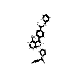 CC#CC(=O)N1CC[C@@H](n2nc(-c3ccc(C(=O)Nc4ccccn4)cc3)c3c(N)ncnc32)C1